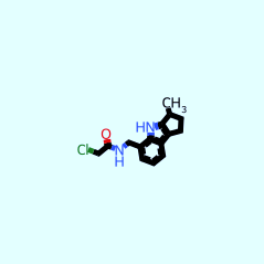 CC1CCc2c1[nH]c1c(CNC(=O)CCl)cccc21